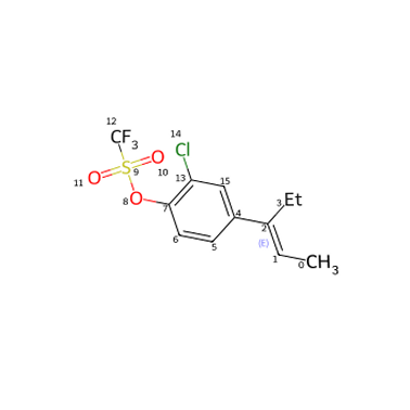 C/C=C(\CC)c1ccc(OS(=O)(=O)C(F)(F)F)c(Cl)c1